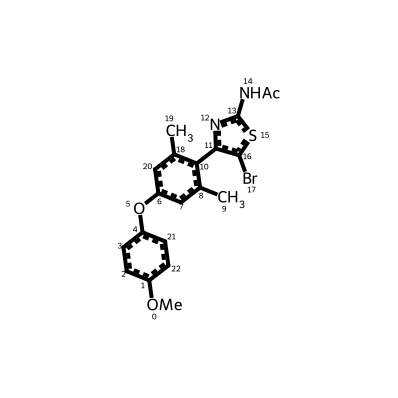 COc1ccc(Oc2cc(C)c(-c3nc(NC(C)=O)sc3Br)c(C)c2)cc1